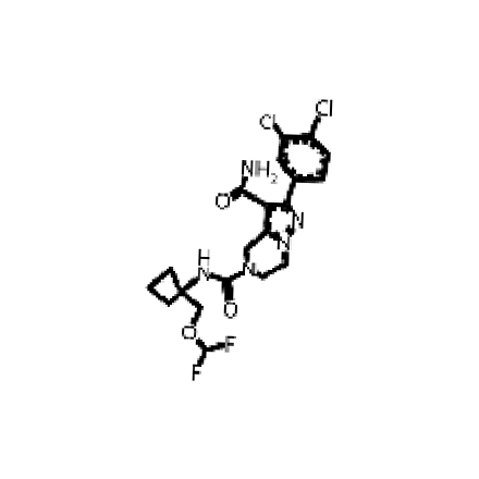 NC(=O)c1c(-c2ccc(Cl)c(Cl)c2)nn2c1CN(C(=O)NC1(COC(F)F)CCC1)CC2